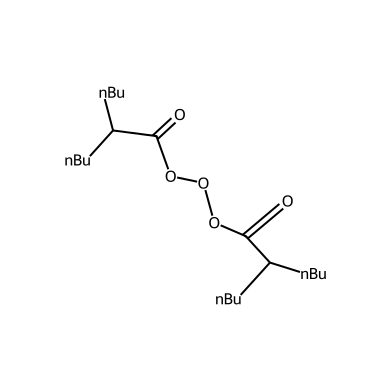 CCCCC(CCCC)C(=O)OOOC(=O)C(CCCC)CCCC